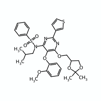 COc1ccccc1Oc1c(OCC2COC(C)(C)O2)nc(-c2ccsc2)nc1N(CC(C)C)S(=O)(=O)c1ccccc1